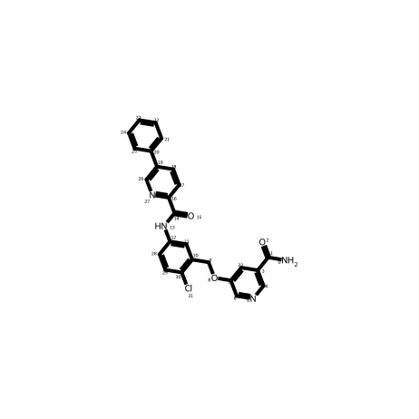 NC(=O)c1cncc(OCc2cc(NC(=O)c3ccc(-c4ccccc4)cn3)ccc2Cl)c1